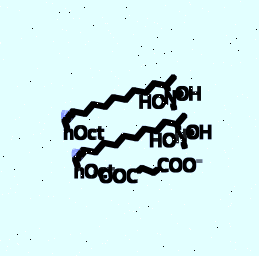 CCCCCCCC/C=C\CCCCCCCCC(C)[N+](C)(O)O.CCCCCCCC/C=C\CCCCCCCCC(C)[N+](C)(O)O.O=C([O-])CCC(=O)[O-]